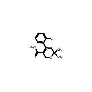 COC(=O)C1=C(c2ccccc2Cl)CC(C)(C)OC1